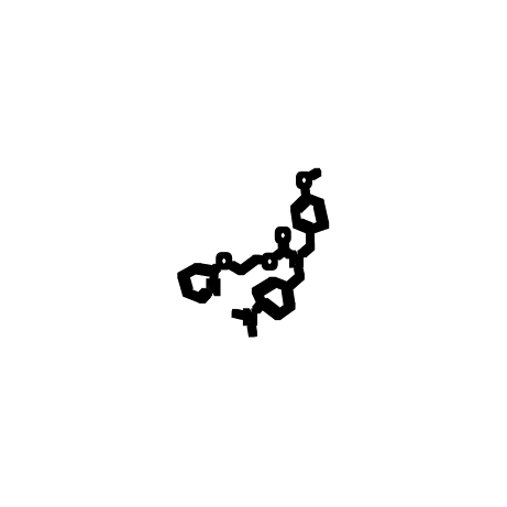 COc1ccc(CN(Cc2ccc(N(C)C)cc2)C(=O)OCCOc2ccccn2)cc1